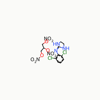 Clc1cccc(Cl)c1N=C1NCCN1.O=[N+]([O-])OCC(CO[N+](=O)[O-])O[N+](=O)[O-]